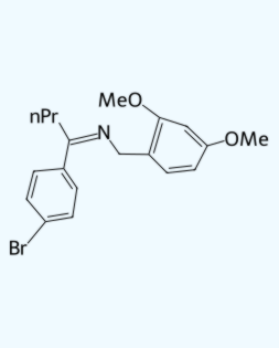 CCCC(=NCc1ccc(OC)cc1OC)c1ccc(Br)cc1